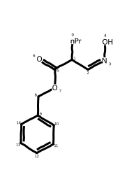 CCCC(/C=N\O)C(=O)OCc1ccccc1